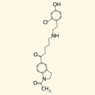 CC(=O)N1CCc2cc(C(=O)CCCCNCCc3ccc(O)cc3Cl)ccc21